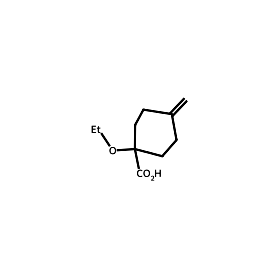 C=C1CCC(OCC)(C(=O)O)CC1